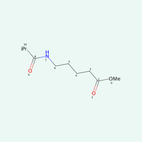 COC(=O)CCCCNC(=O)C(C)C